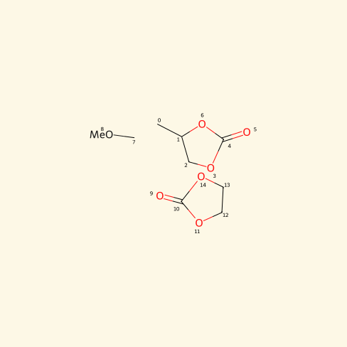 CC1COC(=O)O1.COC.O=C1OCCO1